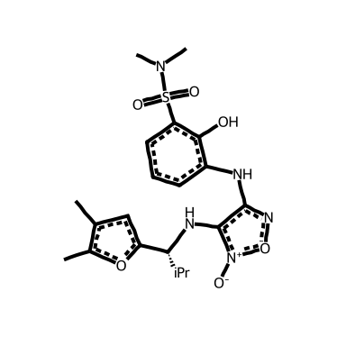 Cc1cc([C@H](Nc2c(Nc3cccc(S(=O)(=O)N(C)C)c3O)no[n+]2[O-])C(C)C)oc1C